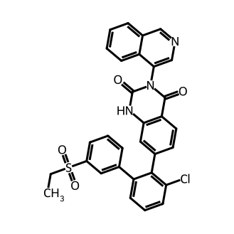 CCS(=O)(=O)c1cccc(-c2cccc(Cl)c2-c2ccc3c(=O)n(-c4cncc5ccccc45)c(=O)[nH]c3c2)c1